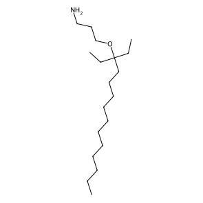 CCCCCCCCCCCC(CC)(CC)OCCCN